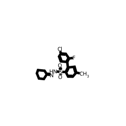 Cc1ccc(S(=O)(=O)NN=C2CCCCC2)c(-c2ccc(Cl)cc2F)c1